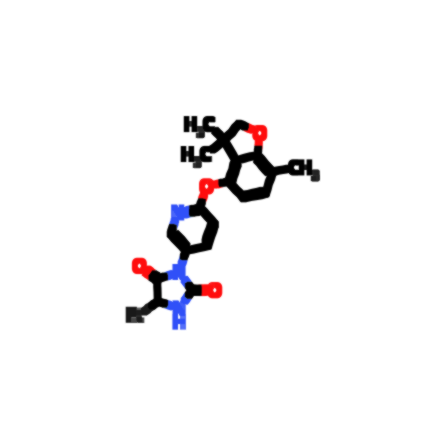 CCC1NC(=O)N(c2ccc(Oc3ccc(C)c4c3C(C)(C)CO4)nc2)C1=O